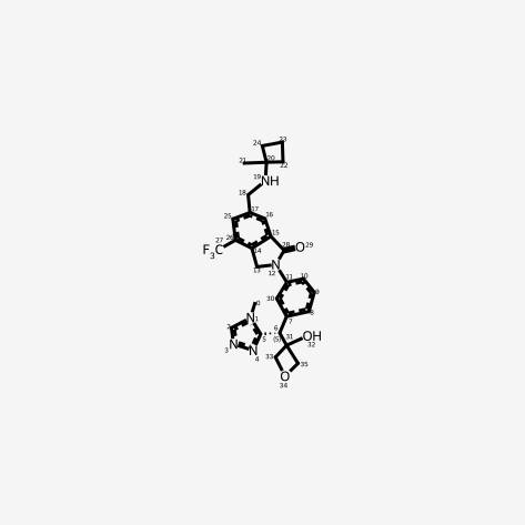 Cn1cnnc1[C@H](c1cccc(N2Cc3c(cc(CNC4(C)CCC4)cc3C(F)(F)F)C2=O)c1)C1(O)COC1